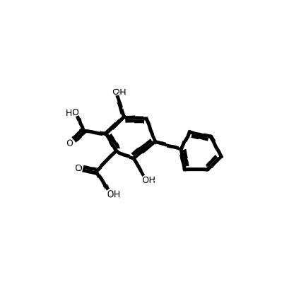 O=C(O)c1c(O)cc(-c2ccccc2)c(O)c1C(=O)O